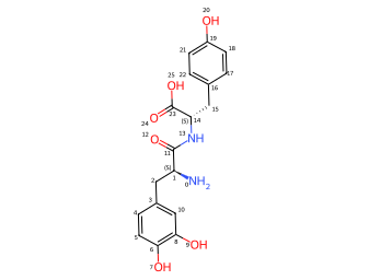 N[C@@H](Cc1ccc(O)c(O)c1)C(=O)N[C@@H](Cc1ccc(O)cc1)C(=O)O